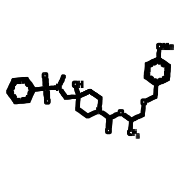 COc1ccc(COCC(OC(=O)N2CCC(O)(CN(C)S(=O)(=O)c3ccccc3)CC2)C(F)(F)F)cc1